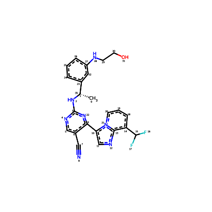 C[C@H](Nc1ncc(C#N)c(-c2cnc3c(C(F)F)cccn23)n1)c1cccc(NCCO)c1